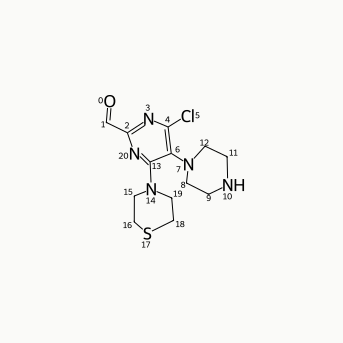 O=Cc1nc(Cl)c(N2CCNCC2)c(N2CCSCC2)n1